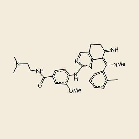 CN/C(=C1\C(=N)CCc2cnc(Nc3ccc(C(=O)NCCN(C)C)cc3OC)nc21)c1ccccc1C